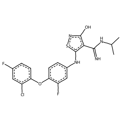 CC(C)NC(=N)c1c(O)nsc1Nc1ccc(Oc2ccc(F)cc2Cl)c(F)c1